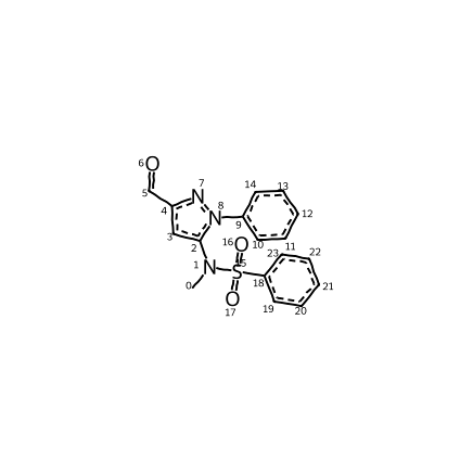 CN(c1cc(C=O)nn1-c1ccccc1)S(=O)(=O)c1ccccc1